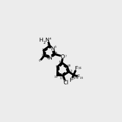 Cc1cc(N)nc(Oc2ccc(Cl)c(C(F)(F)F)c2)n1